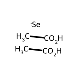 CC(=O)O.CC(=O)O.[Se]